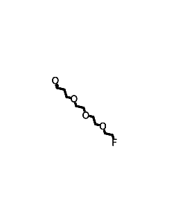 O=CCCOCCOCCOCCF